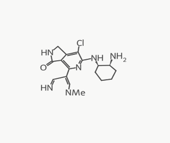 CN/C=C(\C=N)c1nc(N[C@@H]2CCCC[C@@H]2N)c(Cl)c2c1C(=O)NC2